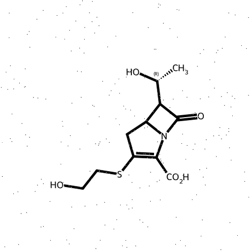 C[C@@H](O)C1C(=O)N2C(C(=O)O)=C(SCCO)CC12